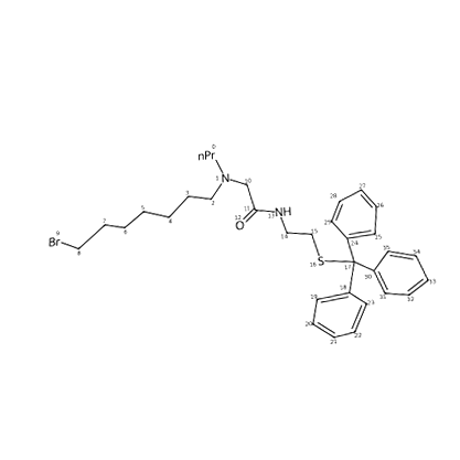 CCCN(CCCCCCCBr)CC(=O)NCCSC(c1ccccc1)(c1ccccc1)c1ccccc1